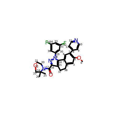 COc1cc2c(cc1-c1ccncc1)-c1c(c(C(=O)N3CCOCC3(C)C)nn1-c1cc(F)cc(F)c1)CC2